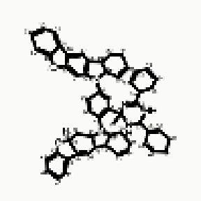 CC1(c2cc(N3c4cc5oc6ccccc6c5cc4C4CCC=CC43)ccc2N2C3CCC=CC3C3C=C4c5ccccc5O[C@H]4CC32)N=C(C2C=CC=CC2)NC(C2=CCCC=C2)N1